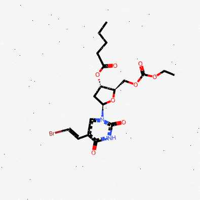 CCCCC(=O)O[C@H]1C[C@H](n2cc(/C=C/Br)c(=O)[nH]c2=O)O[C@@H]1COC(=O)OCC